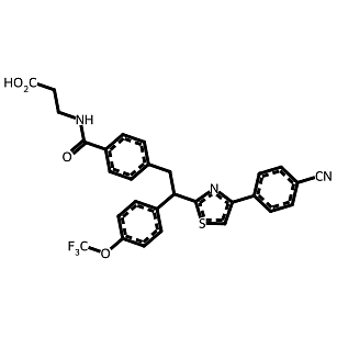 N#Cc1ccc(-c2csc(C(Cc3ccc(C(=O)NCCC(=O)O)cc3)c3ccc(OC(F)(F)F)cc3)n2)cc1